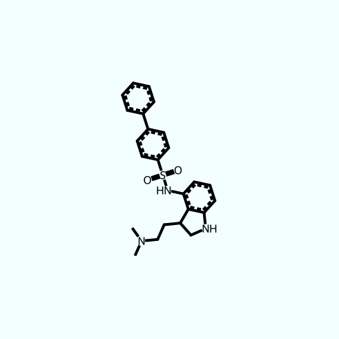 CN(C)CCC1CNc2cccc(NS(=O)(=O)c3ccc(-c4ccccc4)cc3)c21